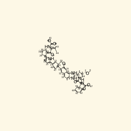 COC[C@H]1C[C@@H](C2Nc3ccc4cc5c(cc4c3N2)OCc2cc(-c3cnc([C@@H]4C[C@H](C)CN4C(=O)[C@@H](NC(=O)OC)C(C)C)[nH]3)ccc2-5)N(C(=O)[C@H](NC(=O)OC)c2ccccc2)C1